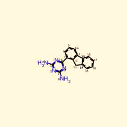 Nc1nc(N)nc(-c2cccc3c2Cc2ccccc2-3)n1